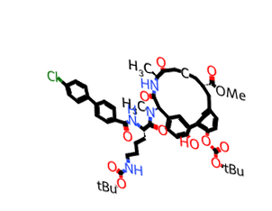 COC(=O)[C@H]1CCCC(=O)[C@H](C)NC(=O)[C@@H](N(C)C(=O)[C@H](CCCCNC(=O)OC(C)(C)C)NC(=O)c2ccc(-c3ccc(Cl)cc3)cc2)c2ccc(O)c(c2)-c2cc(ccc2OC(=O)OC(C)(C)C)C1